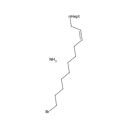 CCCCCCCC/C=C\CCCCCCCCBr.N